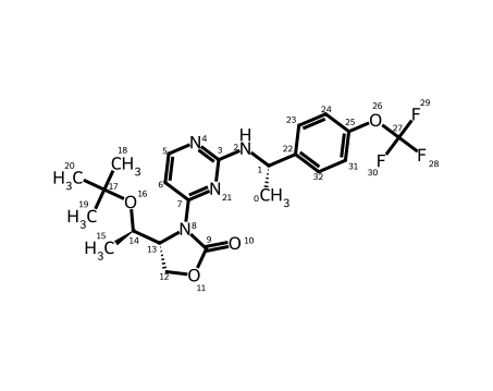 C[C@H](Nc1nccc(N2C(=O)OC[C@@H]2[C@@H](C)OC(C)(C)C)n1)c1ccc(OC(F)(F)F)cc1